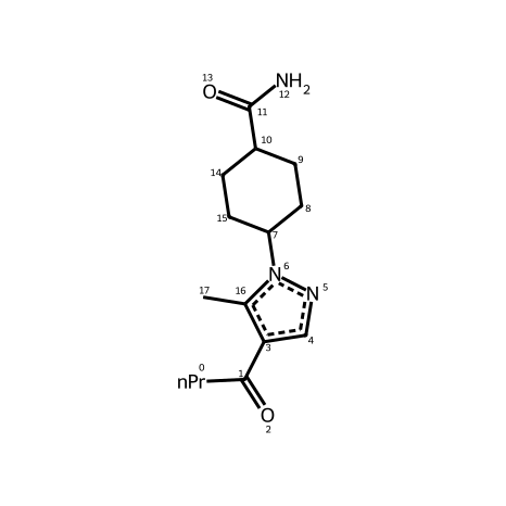 CCCC(=O)c1cnn(C2CCC(C(N)=O)CC2)c1C